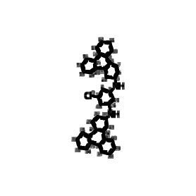 Clc1cc(Nc2ccc3c4ccccc4c4ccccc4c3c2)cc(Nc2ccc3c4ccccc4c4ccccc4c3c2)c1